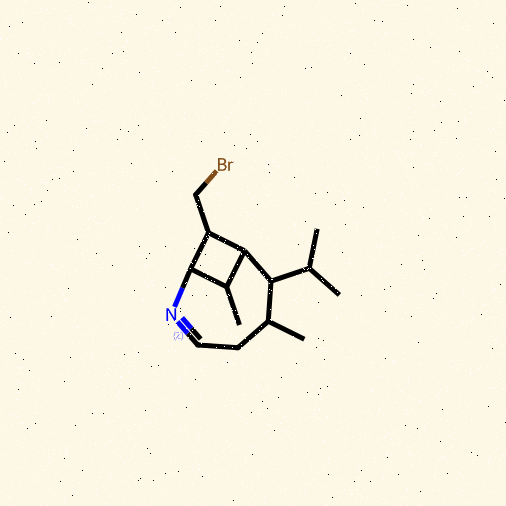 CC(C)C1C(C)C/C=N\C2C(C)C1C2CBr